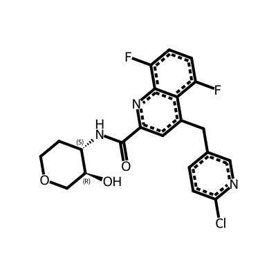 O=C(N[C@H]1CCOC[C@@H]1O)c1cc(Cc2ccc(Cl)nc2)c2c(F)ccc(F)c2n1